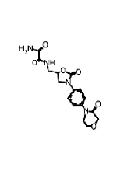 NC(=O)C(=O)NCC1CN(c2ccc(N3CCOCC3=O)cc2)C(=O)O1